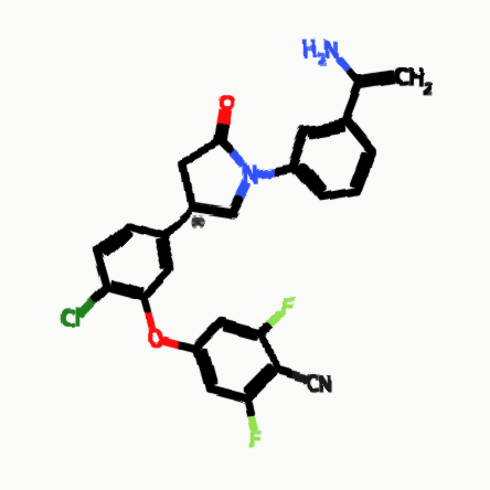 C=C(N)c1cccc(N2C[C@@H](c3ccc(Cl)c(Oc4cc(F)c(C#N)c(F)c4)c3)CC2=O)c1